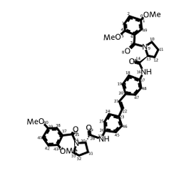 COc1ccc(OC)c(C(=O)N2CCC[C@H]2C(=O)Nc2ccc(/C=C/c3ccc(NC(=O)[C@@H]4CCCN4C(=O)c4cc(OC)ccc4OC)cc3)cc2)c1